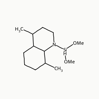 CO[SiH](OC)N1CCC(C)C2CCCC(C)C21